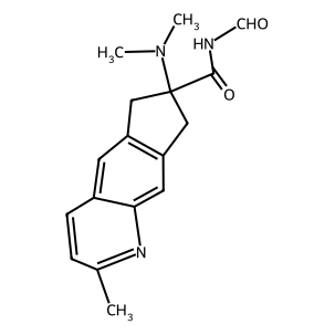 Cc1ccc2cc3c(cc2n1)CC(C(=O)NC=O)(N(C)C)C3